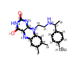 Cc1cc2nc3c(=O)[nH]c(=O)nc-3n(CCNC(C)c3ccc(C(C)(C)C)cc3)c2cc1C